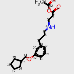 O=C(CCNCCCc1cccc(OCC2CCCC2)c1)OC(=O)C(F)(F)F